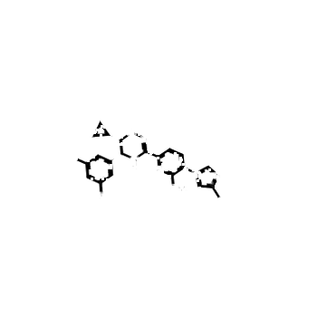 COc1nc(C2=NO[C@@H](C3CC3)[C@@H](c3cc(F)cc(F)c3)N2)ccc1-n1cnc(C)c1